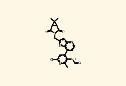 Cc1nc(Cl)cc(-c2ccnc3cc(CN4C(=O)C5C(C4=O)C5(C)C)sc23)c1NC=O